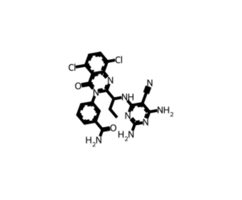 CCC(Nc1nc(N)nc(N)c1C#N)c1nc2c(Cl)ccc(Cl)c2c(=O)n1-c1cccc(C(N)=O)c1